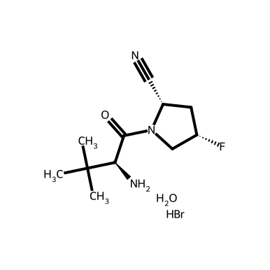 Br.CC(C)(C)[C@H](N)C(=O)N1C[C@@H](F)C[C@H]1C#N.O